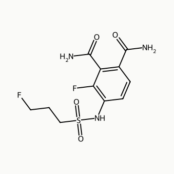 NC(=O)c1ccc(NS(=O)(=O)CCCF)c(F)c1C(N)=O